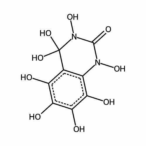 O=C1N(O)c2c(O)c(O)c(O)c(O)c2C(O)(O)N1O